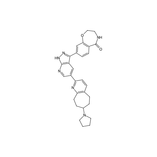 O=C1NCCOc2cc(-c3n[nH]c4ncc(-c5ccc6c(n5)CCC(N5CCCC5)CC6)cc34)ccc21